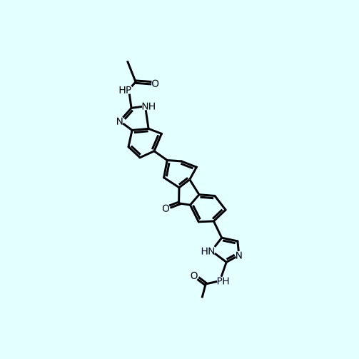 CC(=O)Pc1ncc(-c2ccc3c(c2)C(=O)c2cc(-c4ccc5nc(PC(C)=O)[nH]c5c4)ccc2-3)[nH]1